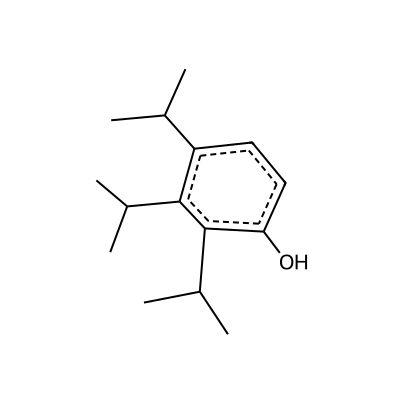 CC(C)c1ccc(O)c(C(C)C)c1C(C)C